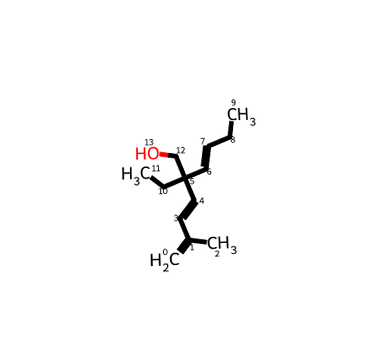 C=C(C)C=CC(C=CCC)(CC)CO